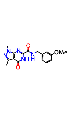 COc1cccc(CNC(=O)c2nc3c(c(C)nn3C)c(=O)[nH]2)c1